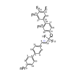 CCCc1ccc(-c2ccc(/C=C/C(F)(F)Oc3ccc(-c4cc(F)c(F)c(F)c4)c(F)c3)cc2)cc1